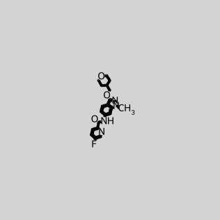 Cn1nc(OCC2CCOCC2)c2ccc(NC(=O)c3ccc(F)cn3)cc21